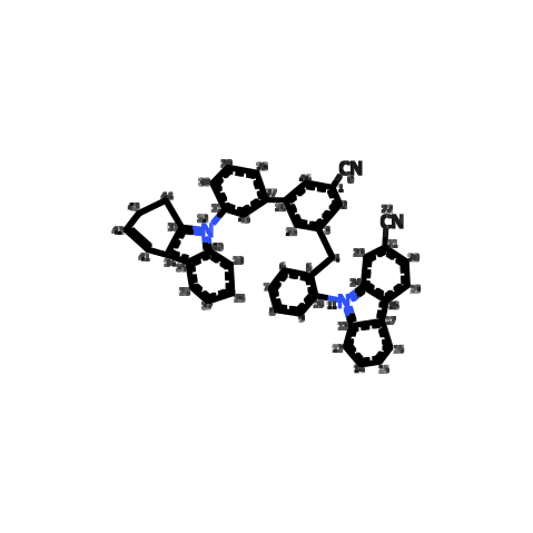 N#Cc1cc(Cc2ccccc2-n2c3ccccc3c3ccc(C#N)cc32)cc(-c2cccc(-n3c4c(c5ccccc53)C=CCC4)c2)c1